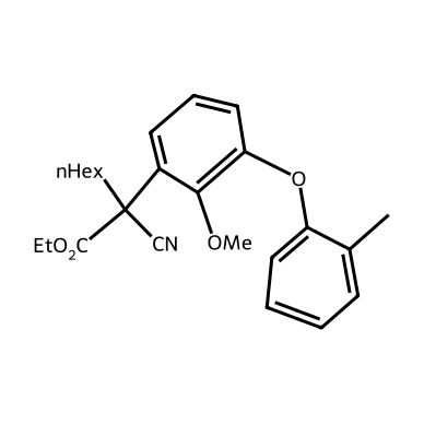 CCCCCCC(C#N)(C(=O)OCC)c1cccc(Oc2ccccc2C)c1OC